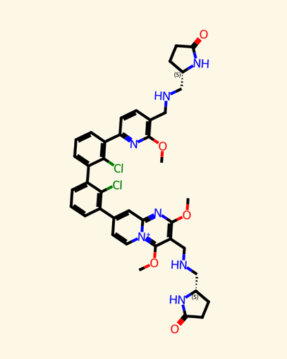 COc1nc(-c2cccc(-c3cccc(-c4cc[n+]5c(OC)c(CNC[C@@H]6CCC(=O)N6)c(OC)nc5c4)c3Cl)c2Cl)ccc1CNC[C@@H]1CCC(=O)N1